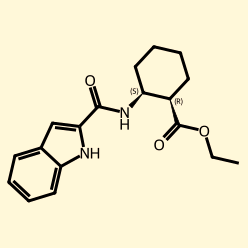 CCOC(=O)[C@@H]1CCCC[C@@H]1NC(=O)c1cc2ccccc2[nH]1